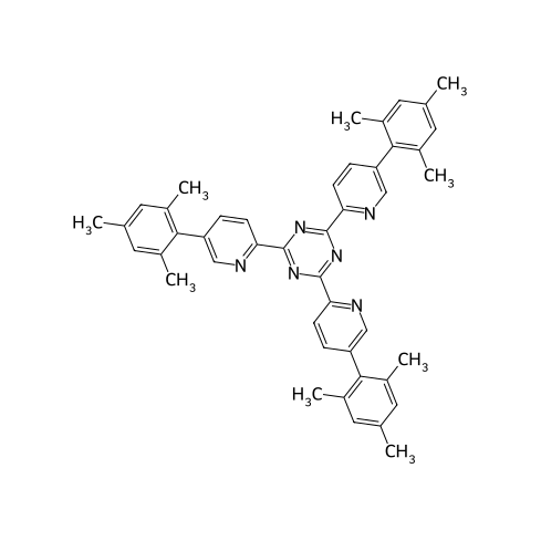 Cc1cc(C)c(-c2ccc(-c3nc(-c4ccc(-c5c(C)cc(C)cc5C)cn4)nc(-c4ccc(-c5c(C)cc(C)cc5C)cn4)n3)nc2)c(C)c1